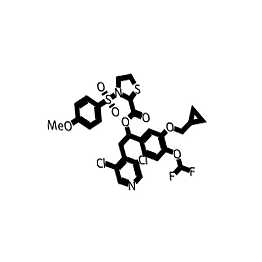 COc1ccc(S(=O)(=O)N2CCSC2C(=O)OC(Cc2c(Cl)cncc2Cl)c2ccc(OC(F)F)c(OCC3CC3)c2)cc1